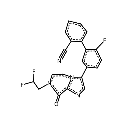 N#Cc1ccccc1-c1cc(-c2cnc3c(=O)n(CC(F)F)ccn23)ccc1F